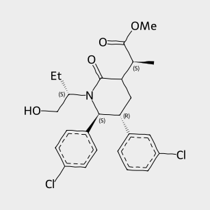 CC[C@@H](CO)N1C(=O)C([C@H](C)C(=O)OC)C[C@H](c2cccc(Cl)c2)[C@H]1c1ccc(Cl)cc1